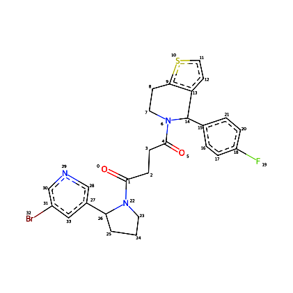 O=C(CCC(=O)N1CCc2sccc2C1c1ccc(F)cc1)N1CCCC1c1cncc(Br)c1